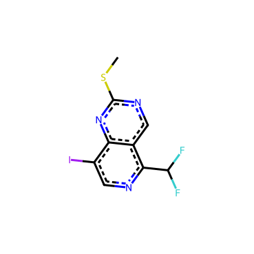 CSc1ncc2c(C(F)F)ncc(I)c2n1